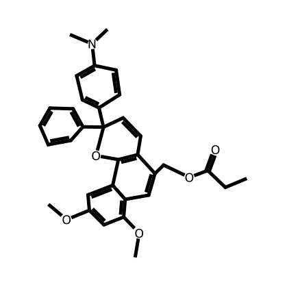 CCC(=O)OCc1cc2c(OC)cc(OC)cc2c2c1C=CC(c1ccccc1)(c1ccc(N(C)C)cc1)O2